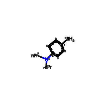 Bc1ccc(N(CCC)CCC)cc1